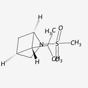 CC(C)[C@@H]1[C@@H]2C[C@H]1N(S(C)(=O)=O)C2